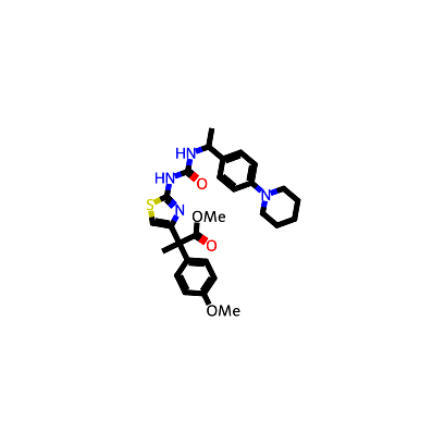 COC(=O)C(C)(c1ccc(OC)cc1)c1csc(NC(=O)NC(C)c2ccc(N3CCCCC3)cc2)n1